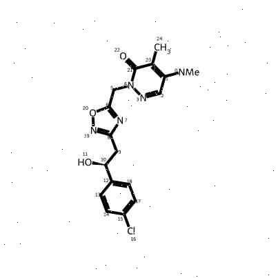 CNc1cnn(Cc2nc(C[C@H](O)c3ccc(Cl)cc3)no2)c(=O)c1C